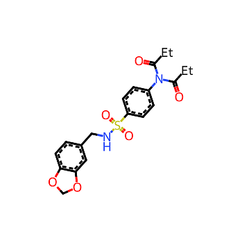 CCC(=O)N(C(=O)CC)c1ccc(S(=O)(=O)NCc2ccc3c(c2)OCO3)cc1